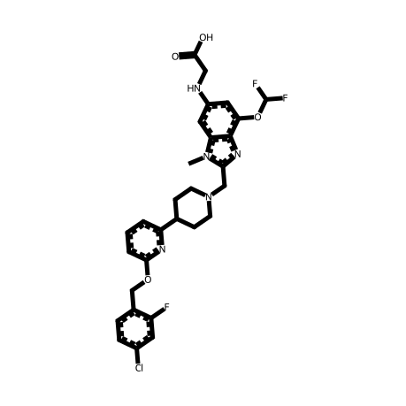 Cn1c(CN2CCC(c3cccc(OCc4ccc(Cl)cc4F)n3)CC2)nc2c(OC(F)F)cc(NCC(=O)O)cc21